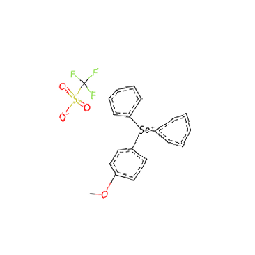 COc1ccc([Se+](c2ccccc2)c2ccccc2)cc1.O=S(=O)([O-])C(F)(F)F